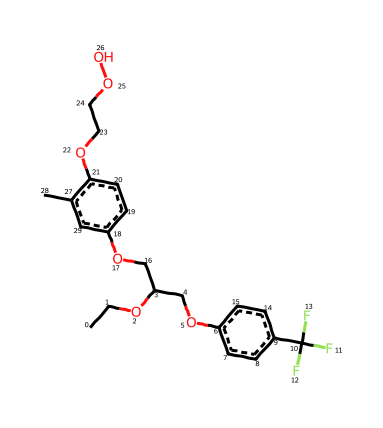 CCOC(COc1ccc(C(F)(F)F)cc1)COc1ccc(OCCOO)c(C)c1